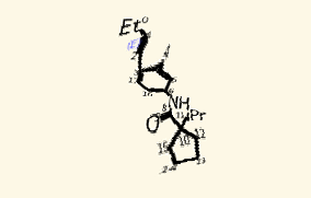 CC/C=C/c1ccc(NC(=O)C2(C(C)C)CCCC2)cc1